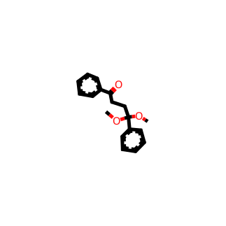 COC(CCC(=O)c1ccccc1)(OC)c1ccccc1